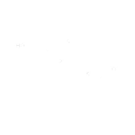 CC(=O)SCC1SCC(CO)S1